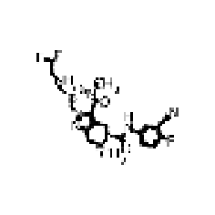 C[C@@H]1Cc2nn3c(c2CN1C(=O)Nc1ccc(F)c(C#N)c1)C(=O)N(C)O[C@H](CNCC(F)F)C3